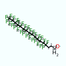 [O][SiH2]CCC(F)(F)C(F)(F)C(F)(F)C(F)(F)C(F)(F)C(F)(F)C(F)(F)C(F)(F)C(F)(F)C(F)(F)C(F)(F)C(F)(F)C(F)(F)C(F)(F)F